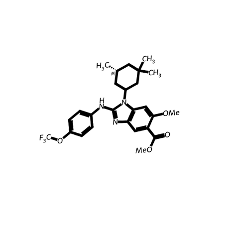 COC(=O)c1cc2nc(Nc3ccc(OC(F)(F)F)cc3)n(C3C[C@H](C)CC(C)(C)C3)c2cc1OC